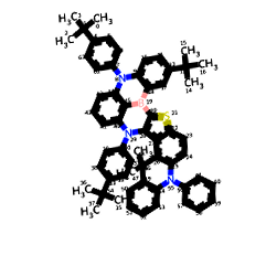 CC(C)(C)c1ccc(N2c3ccc(C(C)(C)C)cc3B3c4sc5ccc6c(c5c4N(c4ccc(C(C)(C)C)cc4)c4cccc2c43)C(C)(C)c2ccccc2N6c2ccccc2)cc1